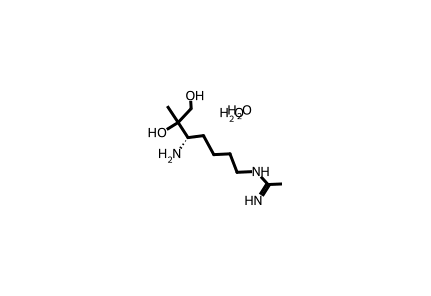 CC(=N)NCCCC[C@H](N)C(C)(O)CO.O.O